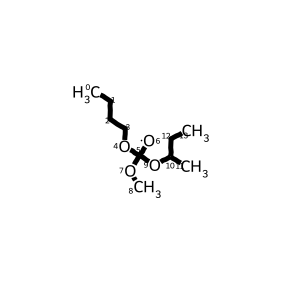 CCCCOC([O])(OC)OC(C)CC